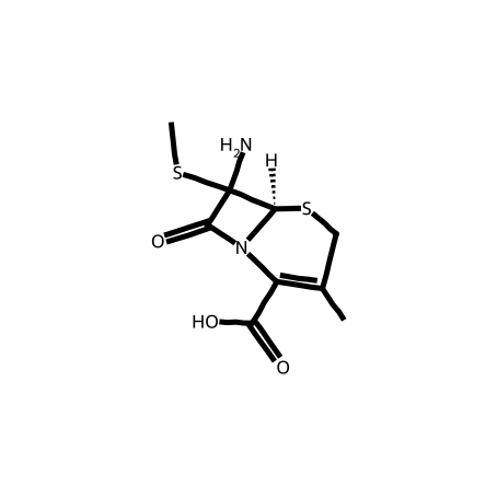 CSC1(N)C(=O)N2C(C(=O)O)=C(C)CS[C@@H]21